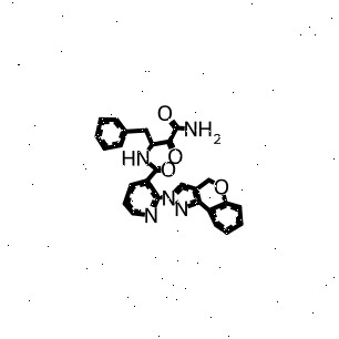 NC(=O)C(=O)C(Cc1ccccc1)NC(=O)c1cccnc1-n1cc2c(n1)-c1ccccc1OC2